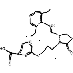 CCc1cccc(C)c1NC[C@H]1CCC(=O)N1CCSc1nc(C(=O)O)cs1